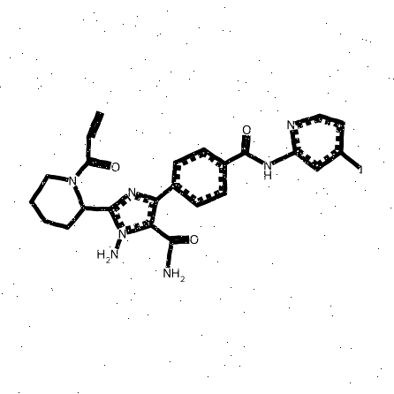 C=CC(=O)N1CCCCC1c1nc(-c2ccc(C(=O)Nc3cc(I)ccn3)cc2)c(C(N)=O)n1N